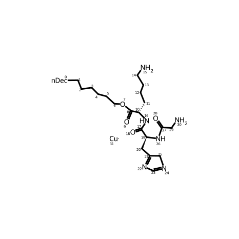 CCCCCCCCCCCCCCCCOC(=O)[C@H](CCCCN)NC(=O)[C@H](CC1=NC=NC1)NC(=O)CN.[Cu]